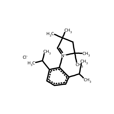 CC(C)c1cccc(C(C)C)c1[N+]1=CC(C)(C)CC1(C)C.[Cl-]